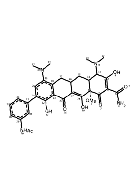 CO[C@@]12C(=O)C(C(N)=O)=C(O)C(N(C)C)C1CC1Cc3c(N(C)C)cc(-c4cccc(NC(C)=O)c4)c(O)c3C(=O)C1=C2O